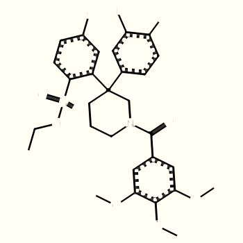 CCOS(=O)(=O)c1ccc(Cl)cc1C1(c2ccc(Cl)c(Cl)c2)CCCN(C(=O)c2cc(OC)c(OC)c(OC)c2)C1